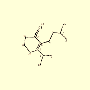 CC(C)CCC1=C(C(C)C)CCCC1=O